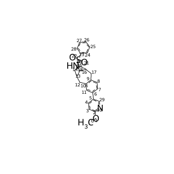 COc1ccc(-c2ccc3c(c2)CC2CCC(C3)C2NS(=O)(=O)c2ccccc2)cn1